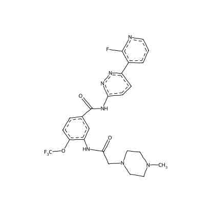 CN1CCN(CC(=O)Nc2cc(C(=O)Nc3ccc(-c4cccnc4F)nn3)ccc2OC(F)(F)F)CC1